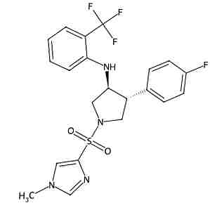 Cn1cnc(S(=O)(=O)N2C[C@@H](Nc3ccccc3C(F)(F)F)[C@H](c3ccc(F)cc3)C2)c1